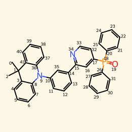 CC1(C)c2ccccc2N(c2cccc(-c3cc(P(=O)(c4ccccc4)c4ccccc4)ccn3)c2)c2ccccc21